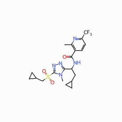 Cc1nc(C(F)(F)F)ccc1C(=O)NC(CC1CC1)c1nnc(S(=O)(=O)CC2CC2)n1C